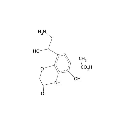 CC(=O)O.NCC(O)c1ccc(O)c2c1OCC(=O)N2